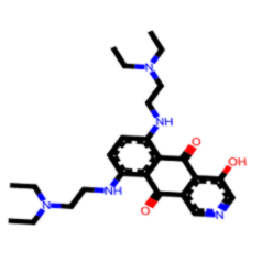 CCN(CC)CCNc1ccc(NCCN(CC)CC)c2c1C(=O)c1cncc(O)c1C2=O